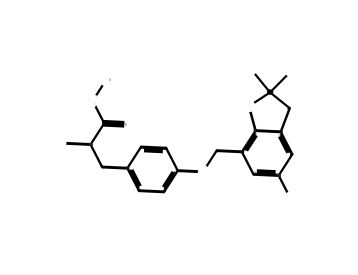 CC(Cc1ccc(OCc2cc(F)cc3c2OC(C)(C)C3)cc1)C(=O)NO